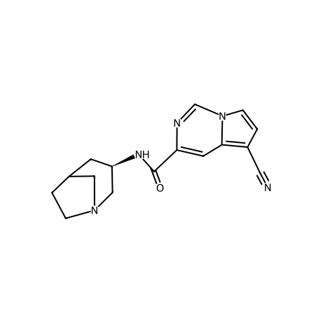 N#Cc1ccn2cnc(C(=O)N[C@@H]3CC4CCN(C4)C3)cc12